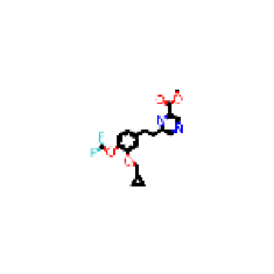 COC(=O)c1cncc(CCc2ccc(OC(F)F)c(OCC3CC3)c2)n1